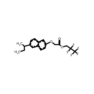 CCC(C)c1ccc2cc(OCC(=O)OCC(F)(F)C(F)(F)F)ccc2c1